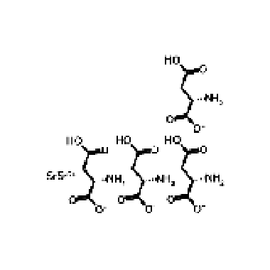 N[C@@H](CC(=O)O)C(=O)[O-].N[C@@H](CC(=O)O)C(=O)[O-].N[C@@H](CC(=O)O)C(=O)[O-].N[C@@H](CC(=O)O)C(=O)[O-].[Sr+2].[Sr+2]